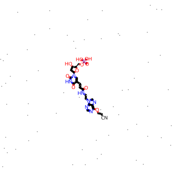 N#CCCOc1ncnc2c1ncn2CCNC(=O)/C=C/c1cn([C@H]2CC(O)[C@@H](COP(=O)(O)O)O2)c(=O)[nH]c1=O